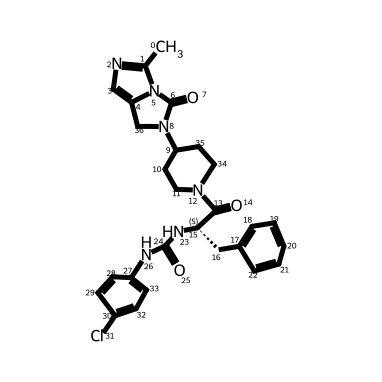 Cc1ncc2n1C(=O)N(C1CCN(C(=O)[C@H](Cc3ccccc3)NC(=O)Nc3ccc(Cl)cc3)CC1)C2